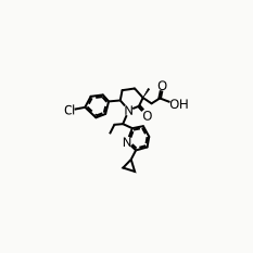 CCC(c1cccc(C2CC2)n1)N1C(=O)[C@@](C)(CC(=O)O)CCC1c1ccc(Cl)cc1